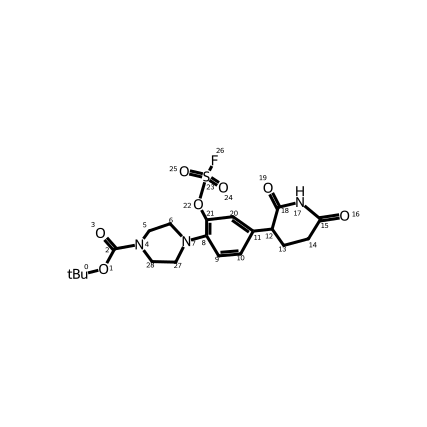 CC(C)(C)OC(=O)N1CCN(c2ccc(C3CCC(=O)NC3=O)cc2OS(=O)(=O)F)CC1